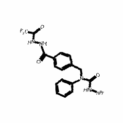 CCCNC(=O)N(Cc1ccc(C(=O)NNC(=O)C(F)(F)F)cc1)c1ccccc1